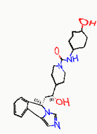 O=C(NC1CCC(O)CC1)N1CCC([C@H](O)C[C@H]2c3ccccc3-c3cncn32)CC1